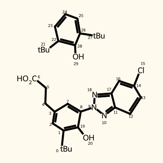 CC(C)(C)c1cc(CCC(=O)O)cc(-n2nc3ccc(Cl)cc3n2)c1O.CC(C)(C)c1cccc(C(C)(C)C)c1O